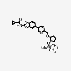 CC(C)(C)[Si](C)(C)O[C@H]1CCC[C@@H]1OCc1ncc(-c2ccc3nc(NC(=O)C4CC4)sc3c2)cn1